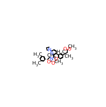 COC(=O)CC(C)(C)c1ccc(OC)c(-c2ccc(N3CCC3)nc2CN2C(=O)O[C@H](c3cc(C)cc(C)c3)[C@@H]2C)c1